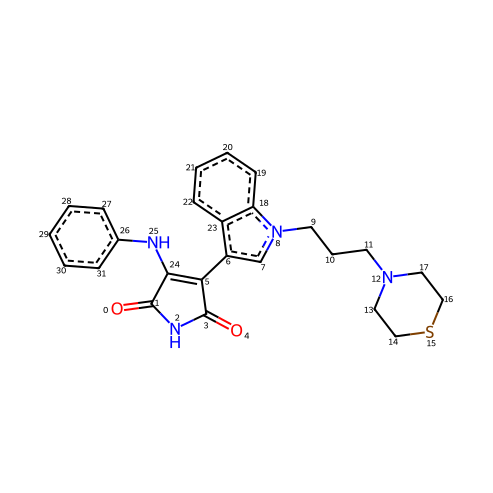 O=C1NC(=O)C(c2cn(CCCN3CCSCC3)c3ccccc23)=C1Nc1ccccc1